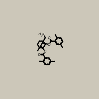 Cc1ccc(C)c(C(=O)OC2C(OC(=O)c3cc(C)ccc3C)C3(CP)CCC2(C)CC3)c1